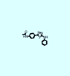 CC(=O)Nc1ccc(-c2nnc(Nc3ccccc3)s2)cc1